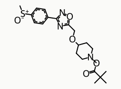 C[S+]([O-])c1ccc(-c2noc(COC3CCN(OC(=O)C(C)(C)C)CC3)n2)cc1